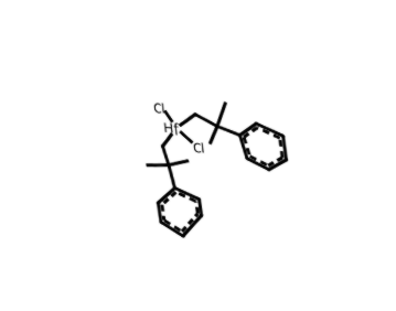 CC(C)([CH2][Hf]([Cl])([Cl])[CH2]C(C)(C)c1ccccc1)c1ccccc1